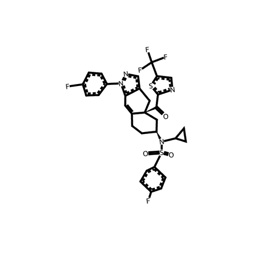 O=C(c1ncc(C(F)(F)F)s1)[C@]12Cc3cnn(-c4ccc(F)cc4)c3C=C1CC[C@H](N(C1CC1)S(=O)(=O)c1ccc(F)cc1)C2